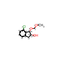 COCO[C@@H]1c2c(Cl)cccc2C[C@@H]1O